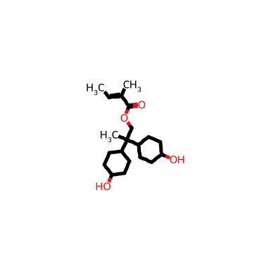 CC=C(C)C(=O)OCC(C)(C1CCC(O)CC1)C1CCC(O)CC1